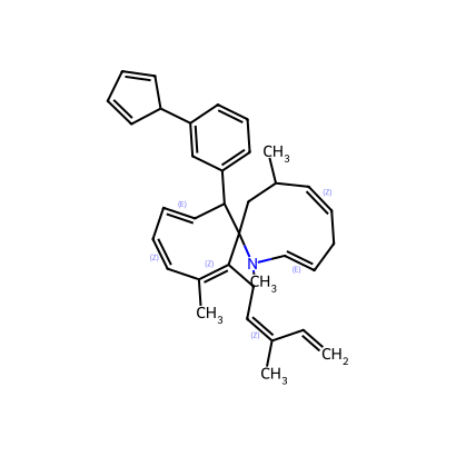 C=C/C(C)=C\C/C1=C(C)/C=C\C=C\C(c2cccc(C3C=CC=C3)c2)C12CC(C)/C=C\C/C=C/N2C